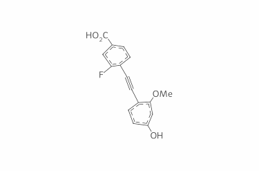 COc1cc(O)ccc1C#Cc1ccc(C(=O)O)cc1F